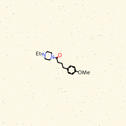 CCN1CCN(C(=O)CCCc2ccc(OC)cc2)CC1